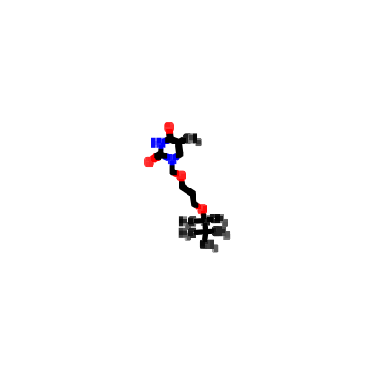 Cc1cn(COCCCO[Si](C)(C)C(C)(C)C)c(=O)[nH]c1=O